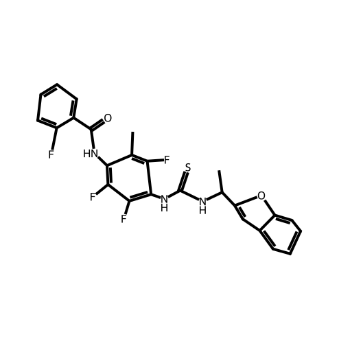 Cc1c(F)c(NC(=S)NC(C)c2cc3ccccc3o2)c(F)c(F)c1NC(=O)c1ccccc1F